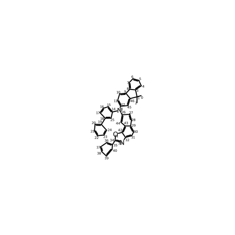 CC1(C)c2ccccc2-c2ccc(N(c3cccc(-c4ccccc4)c3)c3ccc4ccc5nc(-c6ccccc6)oc5c4c3)cc21